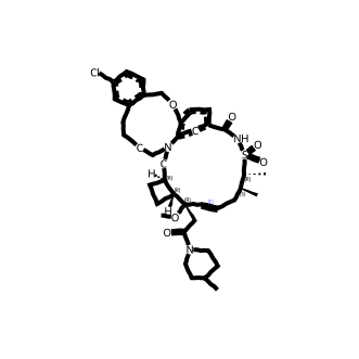 CO[C@@]1(CC(=O)N2CCC(C)CC2)/C=C/C[C@H](C)[C@@H](C)S(=O)(=O)NC(=O)c2ccc3c(c2)N(CCCCc2cc(Cl)ccc2CO3)C[C@@H]2CC[C@H]21